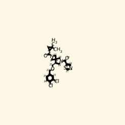 CC1(C)C[C@@H]1C(=O)N1CC2(CN(C(=O)c3cncs3)C[C@H]2COCc2ccc(Cl)c(Cl)c2)C1